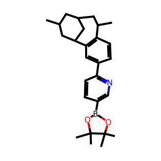 CC1CC2CC(C)c3ccc(-c4ccc(B5OC(C)(C)C(C)(C)O5)cn4)cc3C(C1)C2